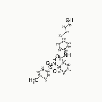 Cc1ccc(S(=O)(=O)Nc2ccccc2C(=O)Nc2ccc(CCCCO)cc2)cc1